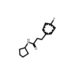 O=C(CCc1ccc(F)cc1)NC1CCCC1